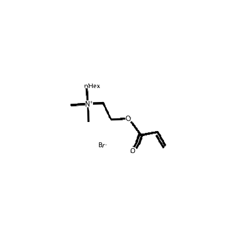 C=CC(=O)OCC[N+](C)(C)CCCCCC.[Br-]